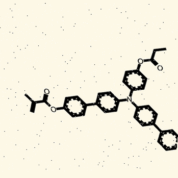 C=C(C)C(=O)Oc1ccc(-c2ccc(N(c3ccc(OC(=O)CC)cc3)c3ccc(-c4ccccc4)cc3)cc2)cc1